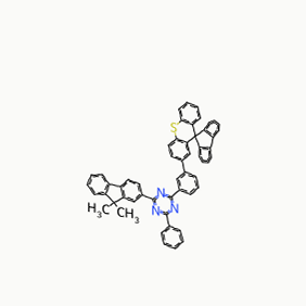 CC1(C)c2ccccc2-c2ccc(-c3nc(-c4ccccc4)nc(-c4cccc(-c5ccc6c(c5)C5(c7ccccc7S6)c6ccccc6-c6ccccc65)c4)n3)cc21